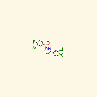 O=C(c1ccc(F)c(Br)c1)N1CCCC(c2ccc(Cl)c(Cl)c2)=N1